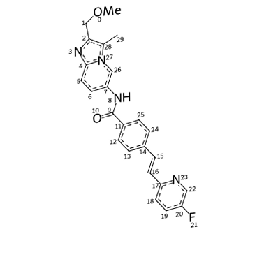 COCc1nc2ccc(NC(=O)c3ccc(C=Cc4ccc(F)cn4)cc3)cn2c1C